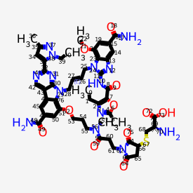 CCc1nc(C)oc1C(=O)Nc1nc2cc(C(N)=O)cc(OC)c2n1C/C=C/Cn1c2nc(-c3cc(C)nn3CC)ncc2c2cc(C(N)=O)cc(OCCCN(C)C(=O)CCN3C(=O)CC(SC[C@H](N)C(=O)O)C3=O)c21